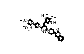 Cc1cc(CC(CC(=O)N2CCC(N3Cc4ccccc4NC3=O)CC2)C(=O)N2CCC(N3CCN(C)CC3C(=O)O)CC2)cc(C)c1O